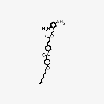 C=CCCCCCOC1CCC(C(=O)Oc2ccc(/C=C/C(=O)OCCc3cc(N)ccc3N)cc2)CC1